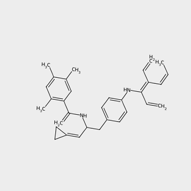 C=CC(/C=C\C)=C(/C=C)Nc1ccc(CC(C=C2CC2)NC(=C)c2cc(C)c(C)cc2C)cc1